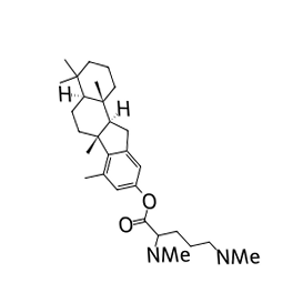 CNCCCC(NC)C(=O)Oc1cc(C)c2c(c1)C[C@@H]1[C@@]3(C)CCCC(C)(C)[C@@H]3CC[C@@]21C